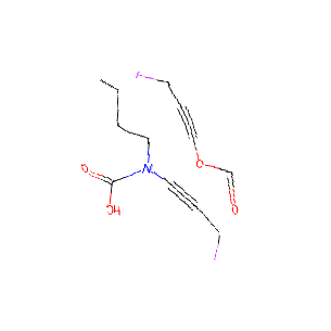 CCCCN(C#CCI)C(=O)O.O=COC#CCI